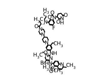 CCCN(C[C@@H](CC)C(=O)N1CCN(C2CCN(c3cc(OCC)c(Nc4ncc(Br)c(Nc5ccc6nc(CC)ccc6c5P(C)(C)=O)n4)cc3CC)CC2)CC1)c1cc(F)cc2c1oc(=O)n2C1CCC(=O)NC1=O